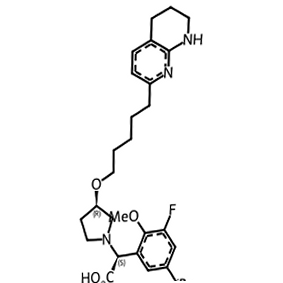 COc1c(F)cc(C(C)C)cc1[C@@H](C(=O)O)N1CC[C@@H](OCCCCCc2ccc3c(n2)NCCC3)C1